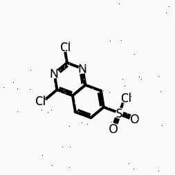 O=S(=O)(Cl)c1ccc2c(Cl)nc(Cl)nc2c1